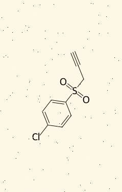 C#CCS(=O)(=O)c1ccc(Cl)cc1